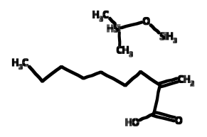 C=C(CCCCCCC)C(=O)O.C[SiH](C)O[SiH3]